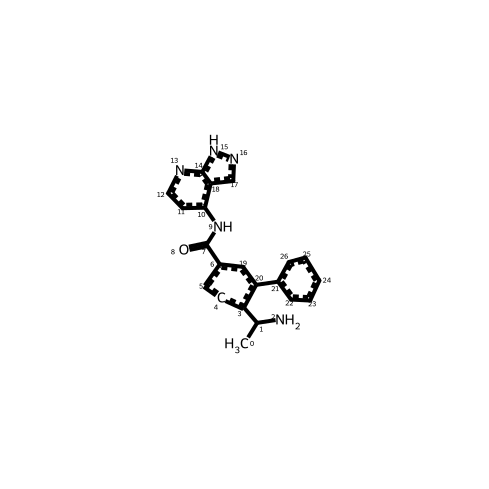 CC(N)c1ccc(C(=O)Nc2ccnc3[nH]ncc23)cc1-c1ccccc1